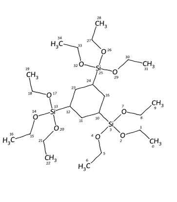 CCO[Si](OCC)(OCC)C1CC([Si](OCC)(OCC)OCC)CC([Si](OCC)(OCC)OCC)C1